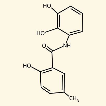 Cc1ccc(O)c(C(=O)Nc2cccc(O)c2O)c1